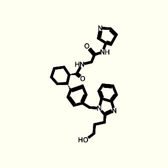 O=C(CNC(=O)[C@@H]1CCCC[C@H]1c1ccc(Cn2c(CCCO)nc3ccccc32)cc1)Nc1cccnc1